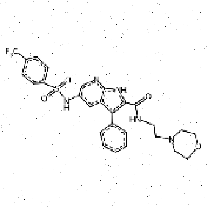 O=C(NCCN1CCOCC1)c1[nH]c2ncc(NS(=O)(=O)c3ccc(C(F)(F)F)cc3)cc2c1-c1ccccc1